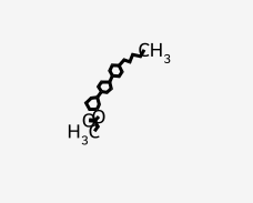 CCCCCC1CCC(C2CCC(C3CCCC(OC(=O)CC)C3)CC2)CC1